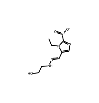 CCn1c(C=NNCCO)cnc1[N+](=O)[O-]